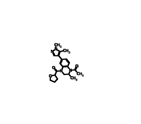 CC(=O)N1c2ccc(-c3cnn(C)c3C)cc2N(C(=O)C2CCCO2)C[C@@H]1C